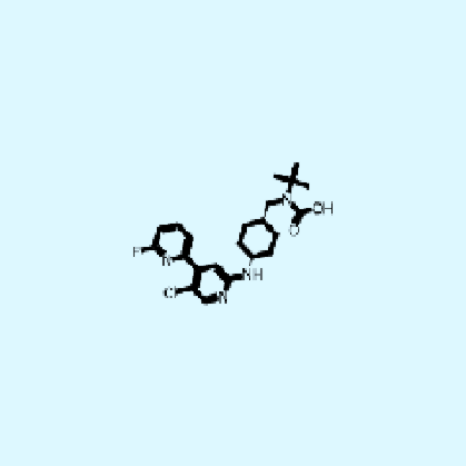 CC(C)(C)N(C[C@H]1CC[C@H](Nc2cc(-c3cccc(F)n3)c(Cl)cn2)CC1)C(=O)O